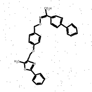 Cc1oc(-c2ccccc2)nc1COc1ccc(CON=C(C(=O)O)c2ccc(-c3ccccc3)cc2)cc1